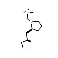 CCC(=O)/C=C1\CCCN1C[Si](C)(C)C